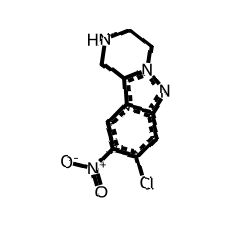 O=[N+]([O-])c1cc2c3n(nc2cc1Cl)CCNC3